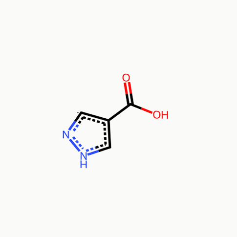 O=C(O)c1[c]n[nH]c1